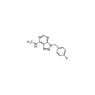 CNc1ncnc2c1nnn2Cc1ccc(F)cc1